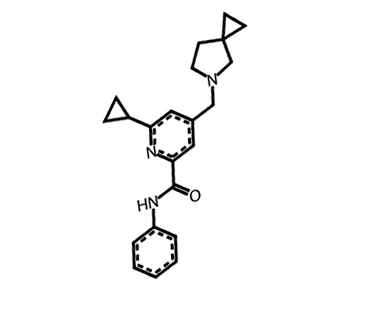 O=C(Nc1ccccc1)c1cc(CN2CCC3(CC3)C2)cc(C2CC2)n1